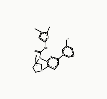 Cc1nc(NC(=O)N2c3nc(-c4cccc(C#N)c4)ccc3N3CC[C@H]2C3)sc1C